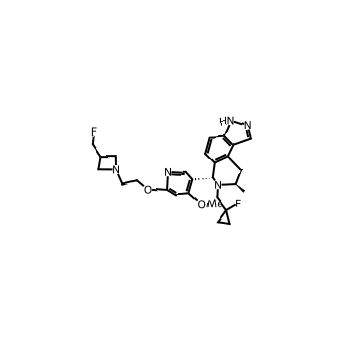 COc1cc(OCCN2CC(CF)C2)ncc1[C@@H]1c2ccc3[nH]ncc3c2C[C@@H](C)N1CC1(F)CC1